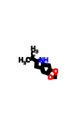 CC(C)c1cc2cc3c(cc2[nH]1)OCO3